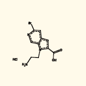 Cl.NCCn1c(C(=O)O)cc2cc(Br)ncc21